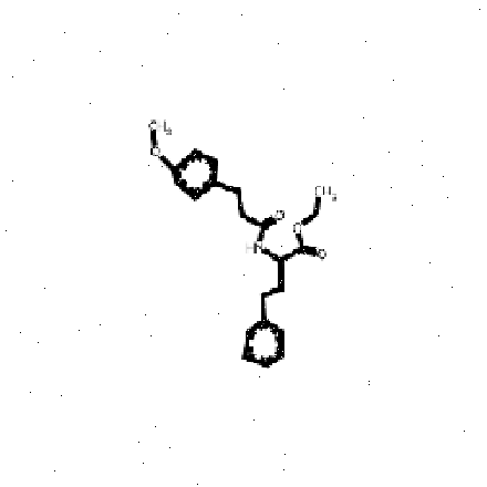 CCOC(=O)C(CCc1ccccc1)NC(=O)CCc1ccc(OC)cc1